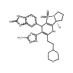 Cc1nnc(C2=C(CCC3CCOCC3)NC3=C(C2c2ccc4[nH]c(=O)oc4c2)S(=O)(=O)N2CCC[C@@H]32)o1